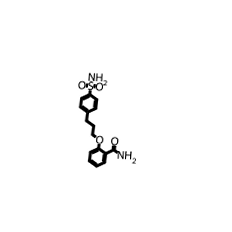 NC(=O)c1ccccc1OCCCc1ccc(S(N)(=O)=O)cc1